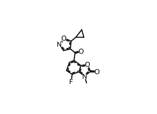 Cn1c(=O)oc2c(C(=O)c3cnoc3C3CC3)ccc(F)c21